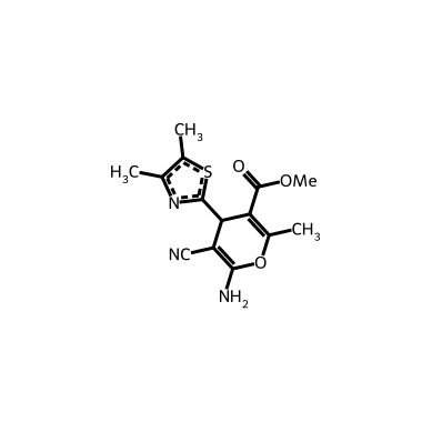 COC(=O)C1=C(C)OC(N)=C(C#N)C1c1nc(C)c(C)s1